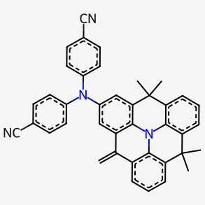 C=C1c2cccc3c2N2c4c1cc(N(c1ccc(C#N)cc1)c1ccc(C#N)cc1)cc4C(C)(C)c1cccc(c12)C3(C)C